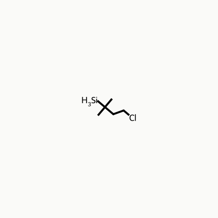 CC(C)([SiH3])CCCl